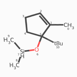 CC1=CCCC1(O[SiH](C)C)C(C)(C)C